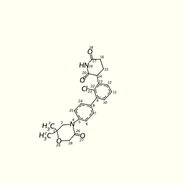 CC1(C)CN(c2ccc(-c3cccc(C4CCC(=O)NC4=O)c3Cl)cc2)C(=O)CO1